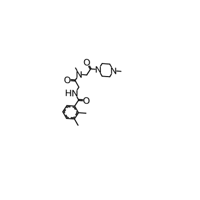 Cc1cccc(C(=O)NCC(=O)N(C)CC(=O)N2CCN(C)CC2)c1C